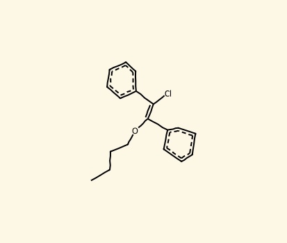 CCCCOC(=C(Cl)c1ccccc1)c1ccccc1